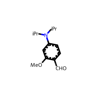 COc1cc(N(C(C)C)C(C)C)ccc1C=O